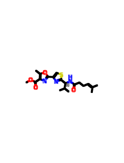 COC(=O)c1nc(-c2csc([C@@H](NC(=O)CCC=C(C)C)C(C)C)n2)oc1C